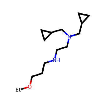 CCOCCCNCCN(CC1CC1)CC1CC1